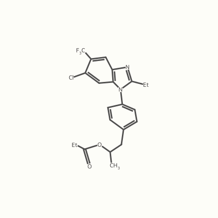 CCC(=O)OC(C)Cc1ccc(-n2c(CC)nc3cc(C(F)(F)F)c(Cl)cc32)cc1